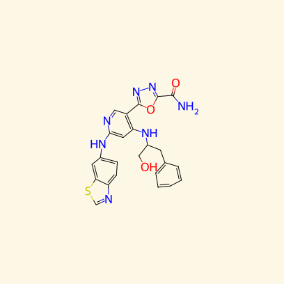 NC(=O)c1nnc(-c2cnc(Nc3ccc4ncsc4c3)cc2NC(CO)Cc2ccccc2)o1